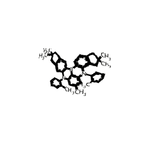 Cc1cc2c3c(c1)N(c1ccccc1C)c1c(ccc4c1CC(C)(C)C4)B3c1cc3c(cc1N2c1ccccc1C)CC(C)(C)C3